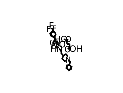 O=C(NCCC1CCN(Cc2ccccc2)CC1)c1noc(-c2ccc(C(F)(F)F)cc2)n1.O=C(O)C=CC(=O)O